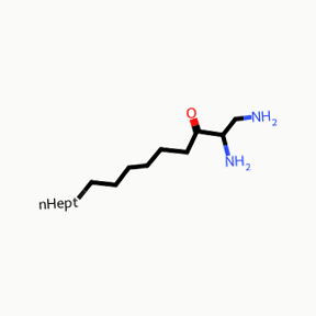 CCCCCCCCCCCCCC(=O)C(N)CN